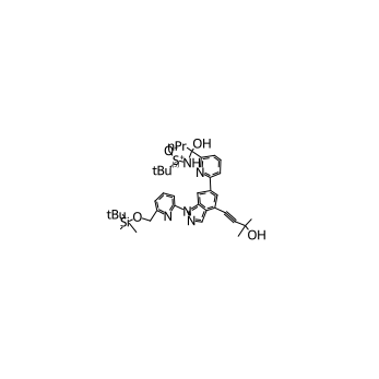 CCCC(O)(N[S@+]([O-])C(C)(C)C)c1cccc(-c2cc(C#CC(C)(C)O)c3cnn(-c4cccc(CO[Si](C)(C)C(C)(C)C)n4)c3c2)n1